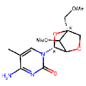 COC[C@]12COC(C1OC)[C@H](n1cc(C)c(N)nc1=O)O2